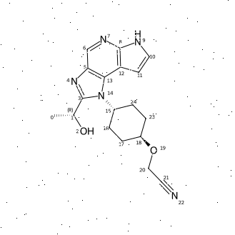 C[C@@H](O)c1nc2cnc3[nH]ccc3c2n1[C@H]1CC[C@H](OCC#N)CC1